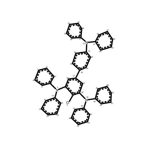 Clc1c(N(c2ccccc2)c2ccccc2)cc(-c2ccc(N(c3ccccc3)c3ccccc3)cc2)cc1N(c1ccccc1)c1ccccc1